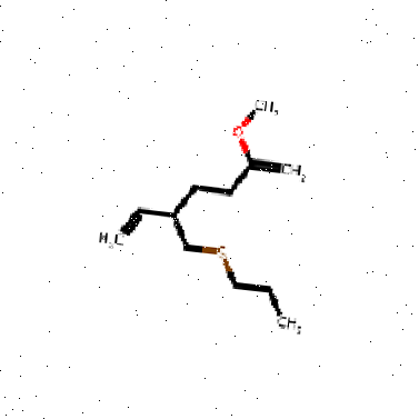 C=CC(CCC(=C)OC)CSCCC